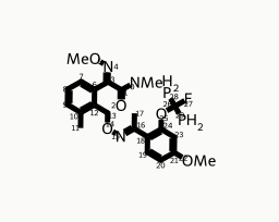 CNC(=O)/C(=N/OC)c1cccc(C)c1CO/N=C(\C)c1ccc(OC)cc1OC(F)(P)P